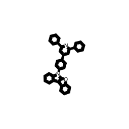 c1ccc(-c2cc(-c3ccc(-n4c5ccccc5c5c6ccccc6oc54)cc3)cc(-c3ccccc3)n2)cc1